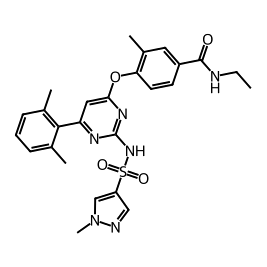 CCNC(=O)c1ccc(Oc2cc(-c3c(C)cccc3C)nc(NS(=O)(=O)c3cnn(C)c3)n2)c(C)c1